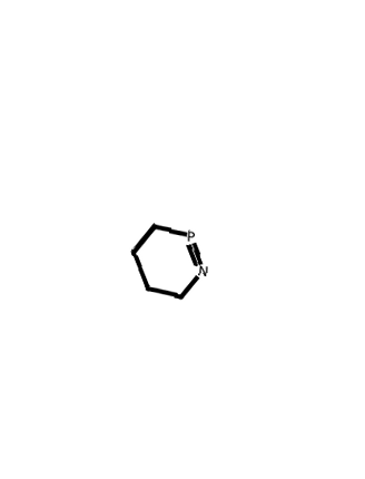 C1CCP=NC1